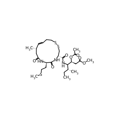 CC[C@@H](C)C(NC(=O)[C@H]1CSSCC/C=C/[C@@H](C)CC(=O)N[C@H](CCSC)C(=O)N1)[C@H](CC(=O)OC)OC(C)=O